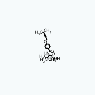 CC(C)C#CCOc1ccc(C(=O)N[C@H](C(=O)NO)C(C)(C)N)cc1